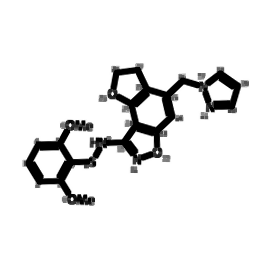 COc1cccc(OC)c1SNc1noc2cc(Cn3cccn3)c3c(c12)OCC3